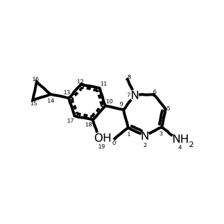 CC1=NC(N)=CCN(C)C1c1ccc(C2CC2)cc1O